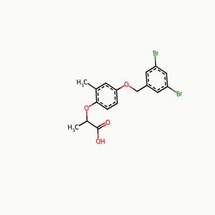 Cc1cc(OCc2cc(Br)cc(Br)c2)ccc1OC(C)C(=O)O